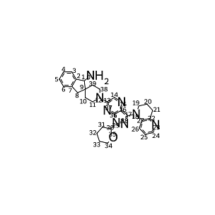 NC1c2ccccc2CC12CCN(c1cnc3c(N4CCCc5ncccc54)nn(C4CCCCO4)c3n1)CC2